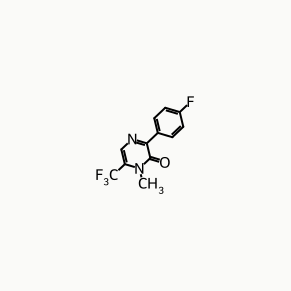 Cn1c(C(F)(F)F)cnc(-c2ccc(F)cc2)c1=O